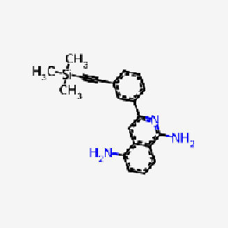 C[Si](C)(C)C#Cc1cccc(-c2cc3c(N)cccc3c(N)n2)c1